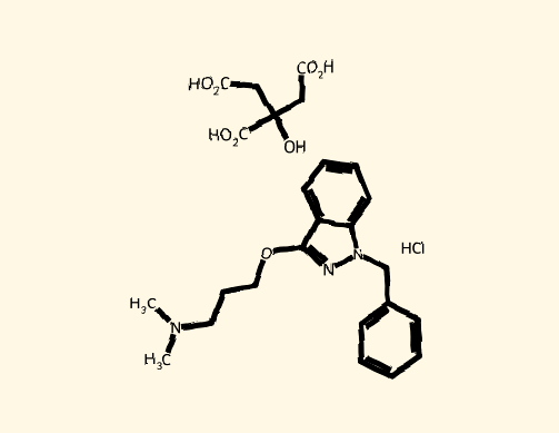 CN(C)CCCOc1nn(Cc2ccccc2)c2ccccc12.Cl.O=C(O)CC(O)(CC(=O)O)C(=O)O